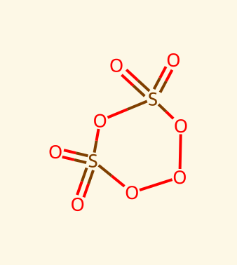 O=S1(=O)OOOS(=O)(=O)O1